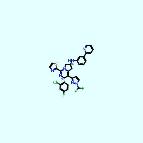 Fc1ccc([C@@H]2N=C(c3nccs3)N3C[C@@H](Nc4cccc(-c5ccccn5)c4)CC3=C2c2ccn(C(F)F)n2)c(Cl)c1